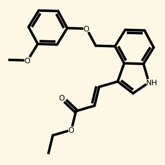 CCOC(=O)/C=C/c1c[nH]c2cccc(COc3cccc(OC)c3)c12